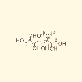 OCC(O)C(O)C(OI)C(O)C(OI)C(O)CO